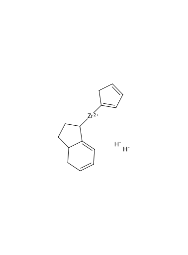 C1=CC[C]([Zr+2][CH]2CCC3CC=CC=C32)=C1.[H-].[H-]